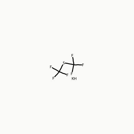 FC(F)(F)SC(F)(F)F.[KH]